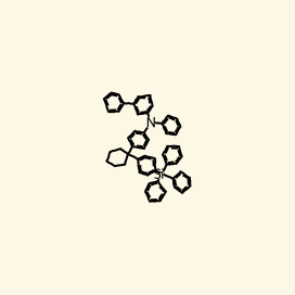 c1ccc(-c2cccc(N(c3ccccc3)c3ccc(C4(c5ccc([Si](c6ccccc6)(c6ccccc6)c6ccccc6)cc5)CCCCC4)cc3)c2)cc1